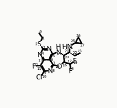 CCSc1nc2c3c(nc(Cl)c(F)c3n1)OC(C(F)F)[C@H]([C@H](CC)NC1CC1)N2